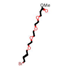 COC(=O)CCOCCOCCOCCOC/C=C/CBr